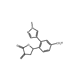 C=C1CC(c2ccc(C(=O)O)cc2-c2cnn(C)c2)OC1=O